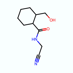 N#CCNC(=O)C1CCCCC1CO